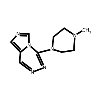 CN1CCN(c2nncc3cncn23)CC1